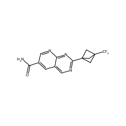 NC(=O)c1cnc2nc(C34CC(C(F)(F)F)(C3)C4)ncc2c1